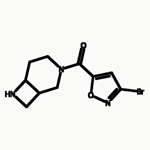 O=C(c1cc(Br)no1)N1CCC2NCC2C1